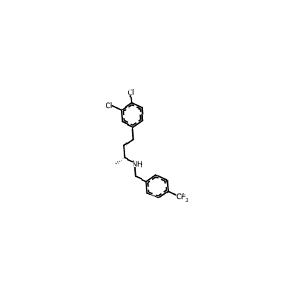 C[C@H](CCc1ccc(Cl)c(Cl)c1)NCc1ccc(C(F)(F)F)cc1